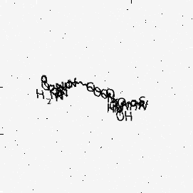 Cc1ncsc1-c1ccc(CNC(=O)[C@@H]2C[C@@H](O)CN2C(=O)CC(C)(C)CNC(=O)COCCOCCOCCCCCCN2CCC(n3nc(-c4ccc(Oc5ccccc5)cc4)c4c(N)ncnc43)CC2)cc1